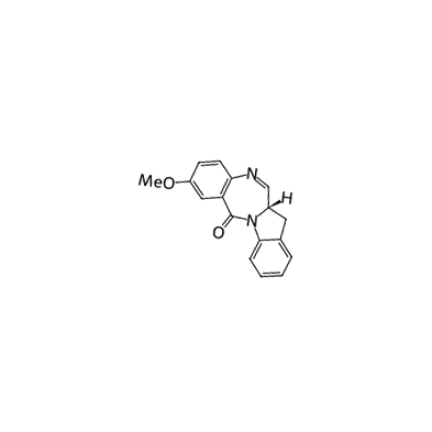 COc1ccc2c(c1)C(=O)N1c3ccccc3C[C@H]1C=N2